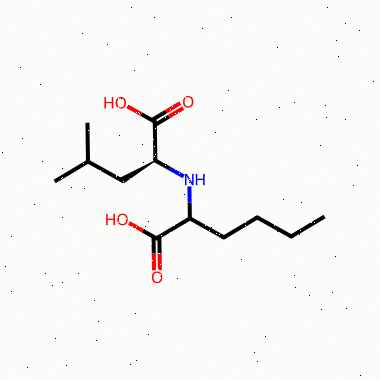 CCCCC(N[C@@H](CC(C)C)C(=O)O)C(=O)O